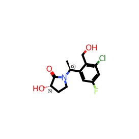 C[C@@H](c1cc(F)cc(Cl)c1CO)N1CC[C@H](O)C1=O